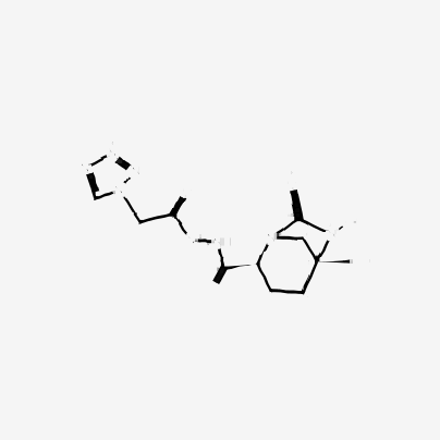 O=C(Cn1cnnn1)NNC(=O)[C@@H]1CC[C@@H]2CN1C(=O)N2O